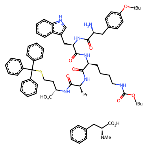 CC(C)[C@H](NC(=O)[C@H](CCCCNC(=O)OC(C)(C)C)NC(=O)[C@@H](Cc1c[nH]c2ccccc12)NC(=O)[C@@H](N)Cc1ccc(OC(C)(C)C)cc1)C(=O)N[C@@H](CCSC(c1ccccc1)(c1ccccc1)c1ccccc1)C(=O)O.CN[C@@H](Cc1ccccc1)C(=O)O